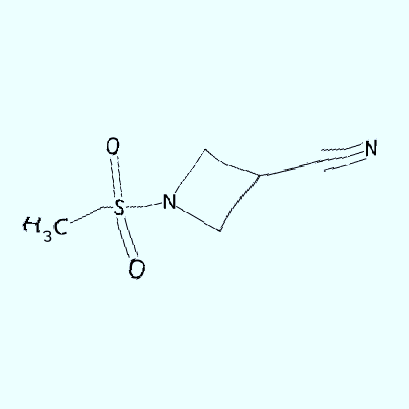 CS(=O)(=O)N1CC(C#N)C1